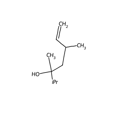 C=CC(C)CC(C)(O)C(C)C